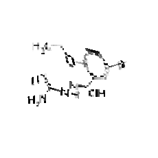 CCOc1ccc(Br)cc1C=NNC(=N)N.Cl